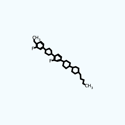 CCCCCC1CCC(C2CCC(c3ccc(C4CCC(c5ccc(CC)c(F)c5)CC4)c(F)c3)CC2)CC1